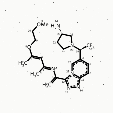 C=C(/N=C(C)/C=C(\C)OCCOC)c1nnc2ccc([C@@H](N3CC[C@H](N)C3)C(F)(F)F)cn12